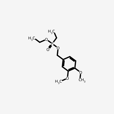 CCOP(=O)(CC)OCc1ccc(OC)c(OC)c1